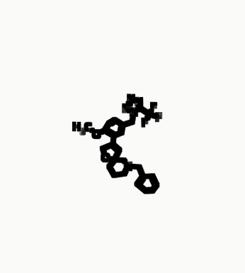 COc1ccc(Cn2nnnc2C(F)(F)F)cc1C1=CC2(CCCN(Cc3ccccc3)C2)OC1